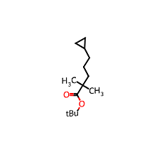 CC(C)(C)OC(=O)C(C)(C)CCCC1CC1